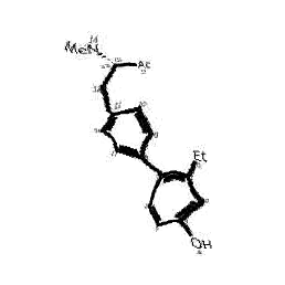 CCc1cc(O)ccc1-c1ccc(C[C@H](NC)C(C)=O)cc1